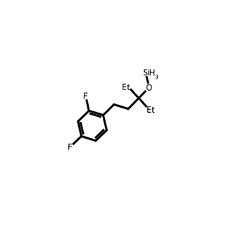 CCC(CC)(CCc1ccc(F)cc1F)O[SiH3]